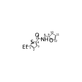 CCc1ccc(C(=O)NCC2CC=CO2)s1